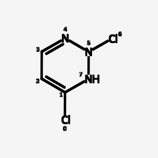 ClC1=CC=NN(Cl)N1